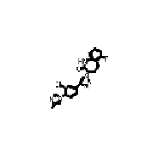 Cc1cn(-c2ccc(-c3cn(C4CCc5c(F)cccc5NC4=O)nn3)cc2Cl)cn1